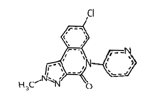 Cn1cc2c(n1)c(=O)n(-c1cccnc1)c1cc(Cl)ccc21